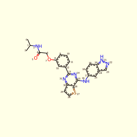 CC(C)NC(=O)COc1cccc(-c2nc(Nc3ccc4[nH]ncc4c3)c3sccc3n2)c1